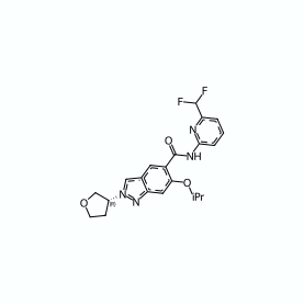 CC(C)Oc1cc2nn([C@@H]3CCOC3)cc2cc1C(=O)Nc1cccc(C(F)F)n1